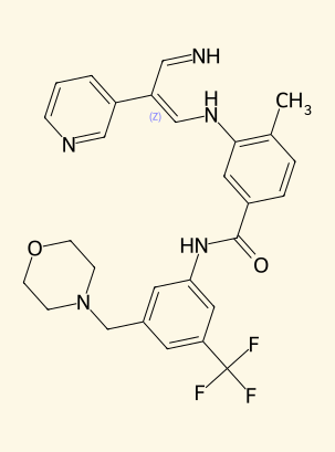 Cc1ccc(C(=O)Nc2cc(CN3CCOCC3)cc(C(F)(F)F)c2)cc1N/C=C(\C=N)c1cccnc1